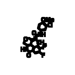 COc1ccc(NC(=O)N(C)[C@H]2COCc3[nH]c(=O)c4cc(F)c(F)cc4c32)cc1Cl